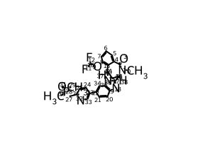 CN1C(=O)c2cccc(OC(F)F)c2[C@H]2C[C@@H]1c1nc3ccc(-c4ccc(CP(C)(C)=O)nc4)cc3n12